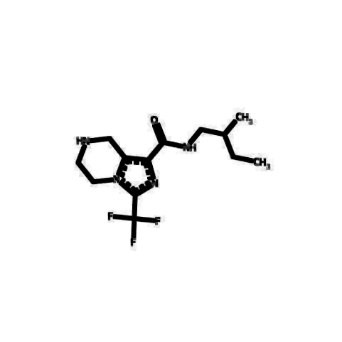 CCC(C)CNC(=O)c1nc(C(F)(F)F)n2c1CNCC2